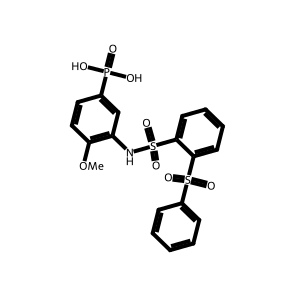 COc1ccc(P(=O)(O)O)cc1NS(=O)(=O)c1ccccc1S(=O)(=O)c1ccccc1